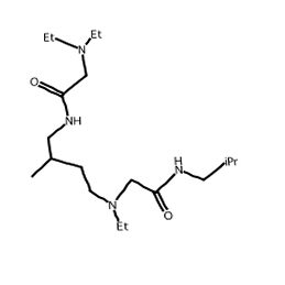 CCN(CC)CC(=O)NCC(C)CCN(CC)CC(=O)NCC(C)C